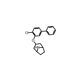 Clc1ccc(-c2ccccc2)cc1OC1CC2CCC(C1)N2